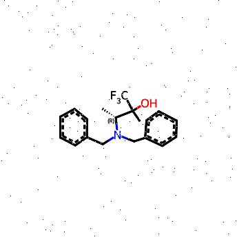 C[C@@H](N(Cc1ccccc1)Cc1ccccc1)C(C)(O)C(F)(F)F